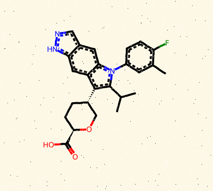 Cc1cc(-n2c(C(C)C)c([C@H]3CC[C@H](C(=O)O)OC3)c3cc4[nH]ncc4cc32)ccc1F